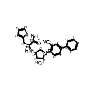 Cl.N#Cc1cc(-c2ccccc2)ccc1N1CC[C@H](N[C@@H](Cc2cccs2)C(N)=O)C1